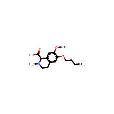 CCCCOc1cc2c(cc1OC)C(C(=O)O)N(C)CC2